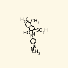 CN=Nc1ccc(N=Nc2c(S(=O)(=O)O)cc3c(C)c(C)ccc3c2O)cc1